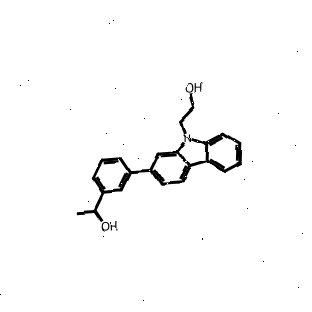 CC(O)c1cccc(-c2ccc3c4ccccc4n(CCO)c3c2)c1